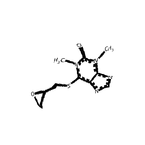 Cn1c2ncnc-2c(SCC2CO2)n(C)c1=O